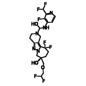 OC(Nc1ccnc(C(F)F)c1F)N1CCc2nn3c(c2C1)C(F)(F)CC[C@](O)(COCC(F)F)C3